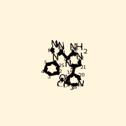 COc1cccc(-n2cnnc2-c2nc(-c3cccnc3)cnc2N)c1